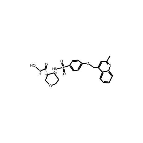 Cc1cc(COc2ccc(S(=O)(=O)N[C@@H]3CCOC[C@@H]3C(=O)NO)cc2)c2ccccc2n1